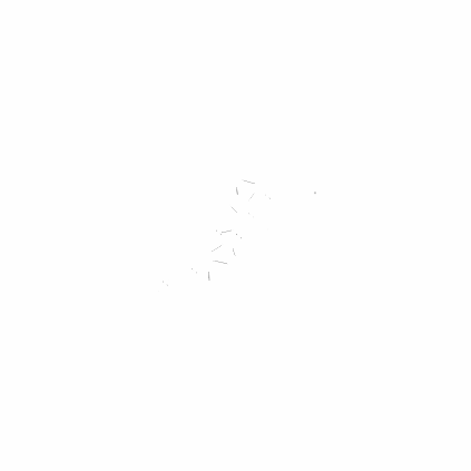 CCC1CN(CCCO)c2cccc3cc(-c4nc5cc(C(=O)N6CCCC(N)C6)cc(F)c5n4C)n1c23